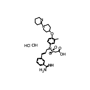 Cc1cc(N(C/C=C/c2cccc(C(=N)N)c2)S(=O)(=O)CC(=O)O)ccc1OC1CCN(C2=NCCCC2)CC1.Cl.Cl